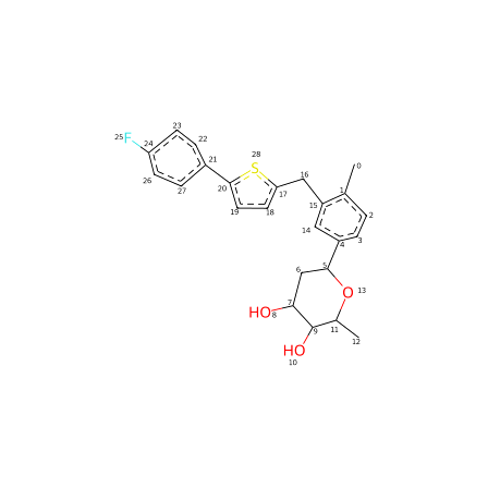 Cc1ccc(C2CC(O)C(O)C(C)O2)cc1Cc1ccc(-c2ccc(F)cc2)s1